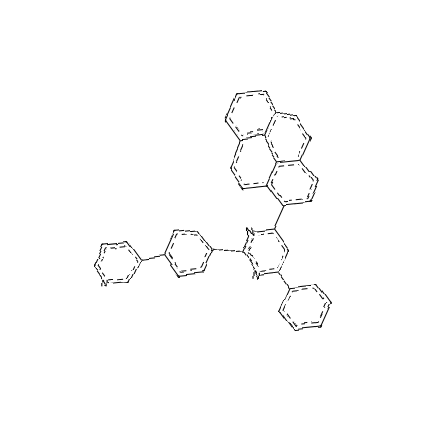 c1ccc(-c2cc(-c3ccc4ccc5cccc6ccc3c4c56)nc(-c3ccc(-c4cccnc4)cc3)n2)cc1